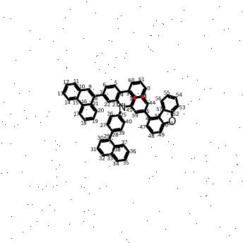 c1ccc(-c2ccc(-c3cc4ccccc4c4ccccc34)cc2N(c2ccc(-c3cccc4ccccc34)cc2)c2cccc(-c3cccc4oc5ccccc5c34)c2)cc1